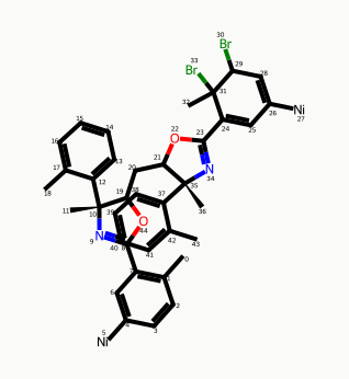 Cc1cc[c]([Ni])cc1C1=N[C@](C)(c2ccccc2C)C(CC2OC(C3=C[C]([Ni])=CC(Br)C3(C)Br)=N[C@]2(C)c2ccccc2C)O1